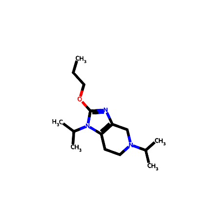 CCCOc1nc2c(n1C(C)C)CCN(C(C)C)C2